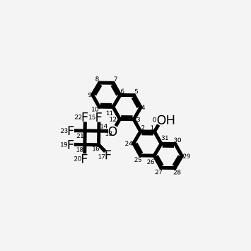 Oc1c(-c2ccc3ccccc3c2OC2(F)C(F)C(F)(F)C2(F)F)ccc2ccccc12